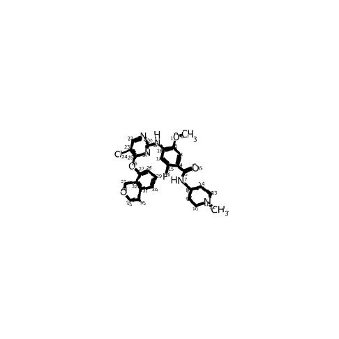 COc1cc(C(=O)NC2CCN(C)CC2)c(F)cc1Nc1ncc(Cl)c(Oc2cccc3c2COCC3)n1